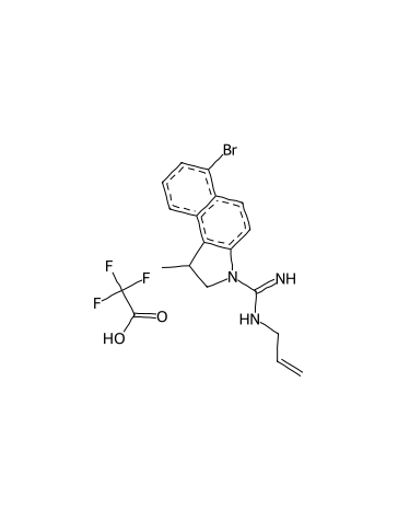 C=CCNC(=N)N1CC(C)c2c1ccc1c(Br)cccc21.O=C(O)C(F)(F)F